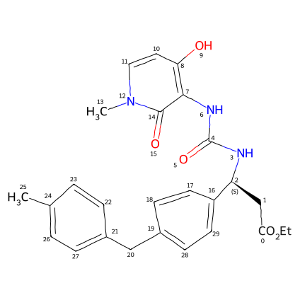 CCOC(=O)C[C@H](NC(=O)Nc1c(O)ccn(C)c1=O)c1ccc(Cc2ccc(C)cc2)cc1